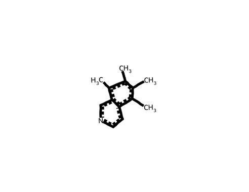 Cc1c(C)c(C)c2cnccc2c1C